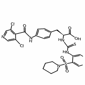 O=C(Nc1ccc(C[C@H](NC(=S)Nc2ccccc2S(=O)(=O)N2CCCCC2)C(=O)O)cc1)c1c(Cl)cncc1Cl